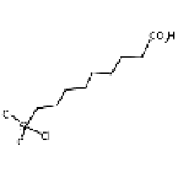 O=C(O)CCCCCCCC[Si](Cl)(Cl)Cl